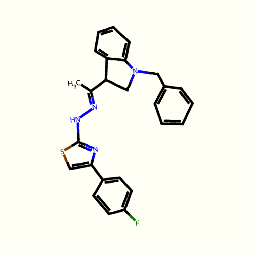 C/C(=N\Nc1nc(-c2ccc(F)cc2)cs1)C1CN(Cc2ccccc2)c2ccccc21